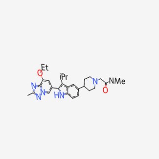 CCOc1cc(-c2[nH]c3ccc(C4CCN(CC(=O)NC)CC4)cc3c2C(C)C)cn2nc(C)nc12